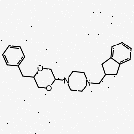 c1ccc(CC2COC(N3CCN(CC4Cc5ccccc5C4)CC3)CO2)cc1